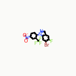 O=[N+]([O-])c1ccc(-n2ncc3cc(F)c(Br)cc32)c(C(F)(F)F)c1